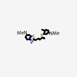 C=C(/C=C/C=C1\Sc2cc(NC)ccc2N1C)Sc1cc(NC)ccc1C